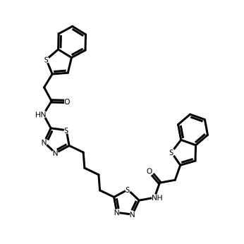 O=C(Cc1cc2ccccc2s1)Nc1nnc(CCCCc2nnc(NC(=O)Cc3cc4ccccc4s3)s2)s1